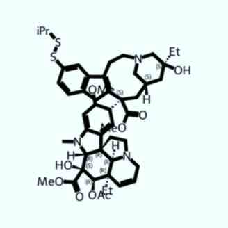 CC[C@]1(O)C[C@H]2CN(CCC3=C(Cc4ccc(SSC(C)C)cc43)[C@@](C(=O)OC)(C3C=C4C(=CC3OC)N(C)[C@H]3[C@@](O)(C(=O)OC)[C@H](OC(C)=O)[C@]5(CC)C=CCN6CC[C@]43[C@@H]65)C2)C1